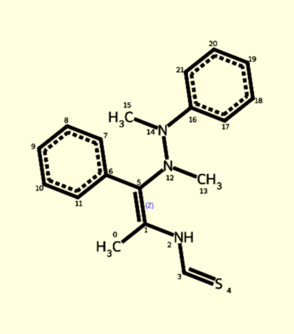 C/C(NC=S)=C(\c1ccccc1)N(C)N(C)c1ccccc1